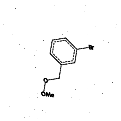 COOCc1cccc(Br)c1